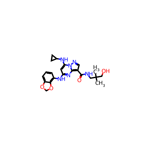 CC(C)(CO)CNC(=O)c1cnn2c(NC3CC3)cc(Nc3cccc4c3OCO4)nc12